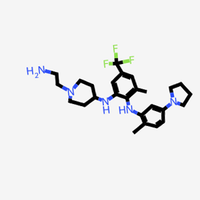 Cc1ccc(N2CCCC2)cc1Nc1c(C)cc(C(F)(F)F)cc1NC1CCN(CCN)CC1